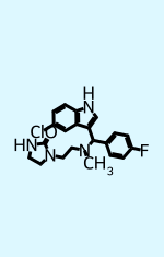 CN(CCN1CCNC1=O)C(c1ccc(F)cc1)c1c[nH]c2ccc(Cl)cc12